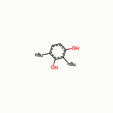 CCCCc1ccc(O)c(CCCC)c1O